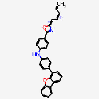 C=C/C=C\C=C1/N=C(c2ccc(Nc3ccc(-c4cccc5c4oc4ccccc45)cc3)cc2)O1